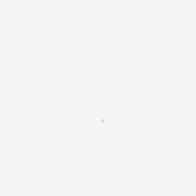 CC(O)C(N)C(=O)CC(=O)C(F)(F)F